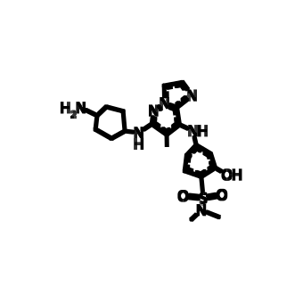 Cc1c(NC2CCC(N)CC2)nn2ccnc2c1Nc1ccc(S(=O)(=O)N(C)C)c(O)c1